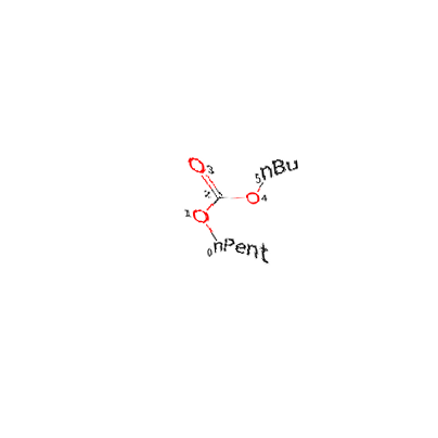 CCCCCOC(=O)OCCCC